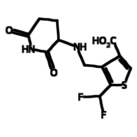 O=C1CCC(NCc2c(C(=O)O)csc2C(F)F)C(=O)N1